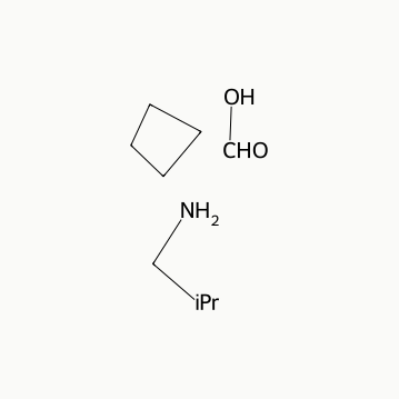 C1CCC1.CC(C)CN.O=CO